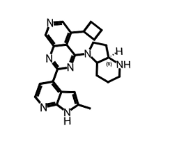 Cc1cc2c(-c3nc(N4CC[C@H]5NCCCC54)c4c(C5CCC5)cncc4n3)ccnc2[nH]1